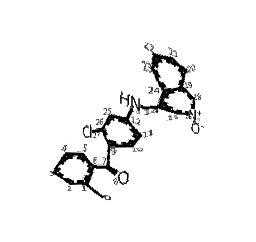 Cc1ccccc1C(=O)c1ccc(Nc2c[n+]([O-])cc3ccccc23)cc1Cl